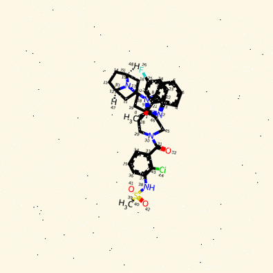 Cc1nc2ccccc2n1C1C[C@H]2CC[C@@H](C1)N2CCC1(c2cccc(F)c2)CCN(C(=O)c2cccc(NS(C)(=O)=O)c2Cl)CC1